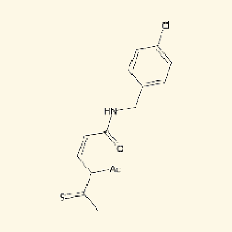 CC(=O)C(/C=C\C(=O)NCc1ccc(Cl)cc1)C(C)=S